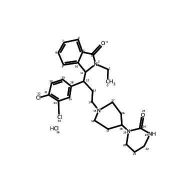 CCN1C(=O)c2ccccc2C1C(CCN1CCC(N2CCCNC2=O)CC1)c1ccc(Cl)c(Cl)c1.Cl